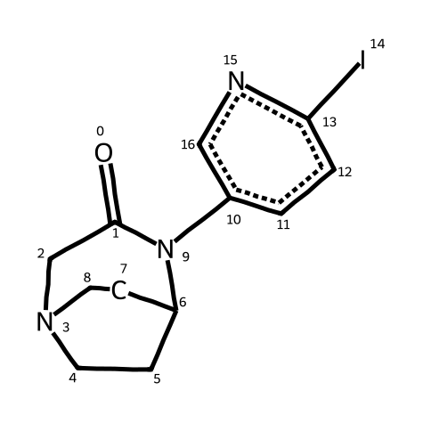 O=C1CN2CCC(CC2)N1c1ccc(I)nc1